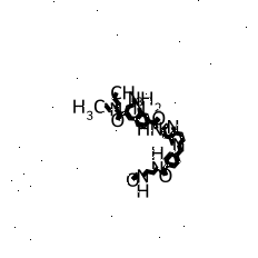 CCCN(CCC)C(=O)C1=Cc2ccc(C(=O)Nc3cnc4c(c3)CN(Cc3ccc(C(=O)NCCNC=O)cc3)CC4)cc2N=C(N)C1